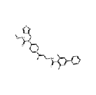 CONC(=O)N(Cc1ccsc1)C1CCN([C@H](C)CCNC(=O)c2c(C)cc(-c3ccncc3)cc2C)CC1